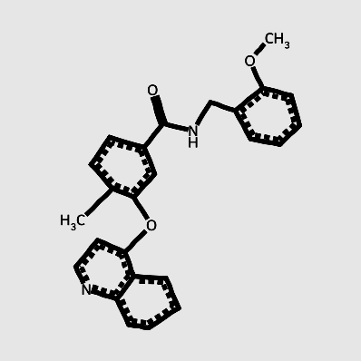 COc1ccccc1CNC(=O)c1ccc(C)c(Oc2ccnc3ccccc23)c1